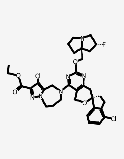 CCOC(=O)c1nn2c(c1Cl)CN(c1nc(OC[C@@]34CCCN3C[C@H](F)C4)nc3c1CO[C@@]1(CCc4c(Cl)cccc41)C3)CCC2